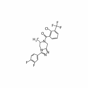 CC1Cn2c(nnc2-c2ccc(F)c(F)c2)CN1C(=O)c1cccc(C(F)(F)F)c1Cl